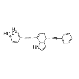 C#C/C=C\C(C#CC1=CCC(C#Cc2ccccc2)c2cc[nH]c21)=C/C